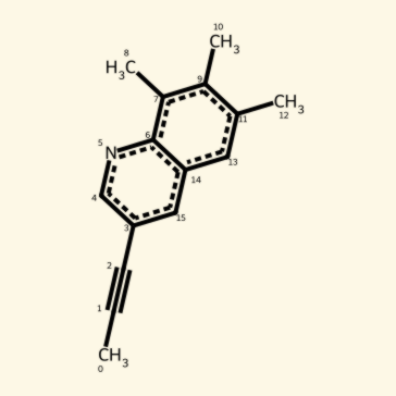 CC#Cc1cnc2c(C)c(C)c(C)cc2c1